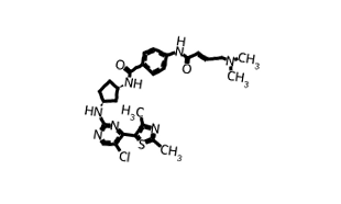 Cc1nc(C)c(-c2nc(N[C@@H]3CC[C@H](NC(=O)c4ccc(NC(=O)C=CCN(C)C)cc4)C3)ncc2Cl)s1